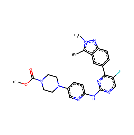 CC(C)c1c2cc(-c3nc(Nc4ccc(N5CCN(C(=O)OC(C)(C)C)CC5)cn4)ncc3F)ccc2nn1C